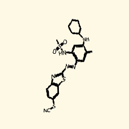 Cc1cc(N=Nc2nc3ccc(SC#N)cc3s2)c(NS(C)(=O)=O)cc1NC1CCCCC1